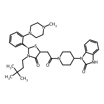 CN1CCN(c2ccccc2[C@H]2SC(CC(=O)N3CCC(n4c(=O)[nH]c5ccccc54)CC3)C(=O)N2CCC(C)(C)C)CC1